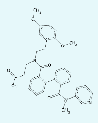 COc1ccc(OC)c(CCN(CCC(=O)O)C(=O)c2ccccc2-c2ccccc2C(=O)N(C)c2cccnc2)c1